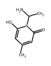 Cc1cc(O)n(C(C)N)c(=O)c1